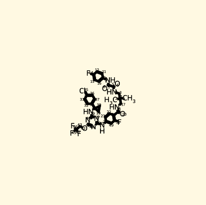 CC(C)(CNC(=O)C(=O)Nc1ccc(F)cc1)CNC(=O)c1ccc(Nc2nc(NC3(c4ccc(Cl)cc4)CC3)nc(OCC(F)(F)F)n2)cc1F